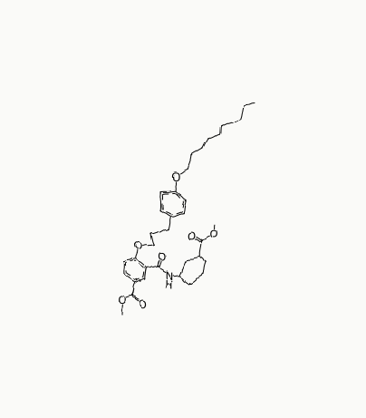 CCCCCCCCCOc1ccc(CCCOc2ccc(C(=O)OC)cc2C(=O)NC2CCCC(C(=O)OC)C2)cc1